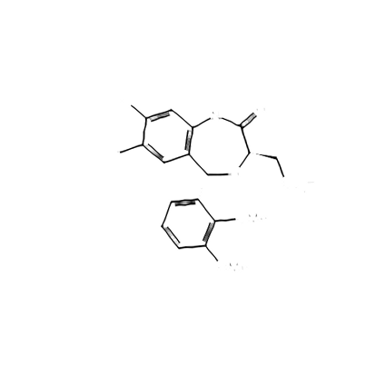 COc1cccc([C@H]2O[C@H](CC(=O)O)C(=O)Nc3cc(C(F)(F)F)c(Cl)cc32)c1OC